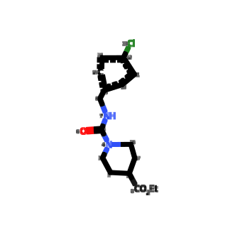 CCOC(=O)C1CCN(C(=O)NCc2ccc(Cl)cc2)CC1